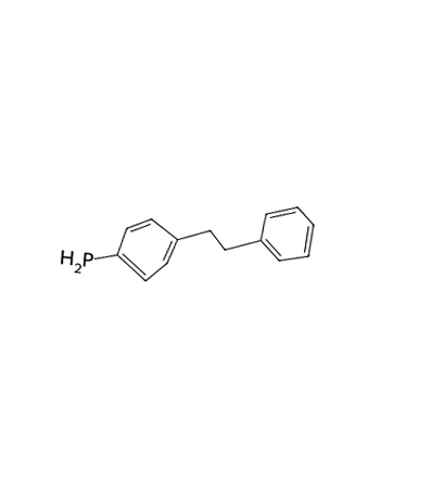 Pc1ccc(CCc2ccccc2)cc1